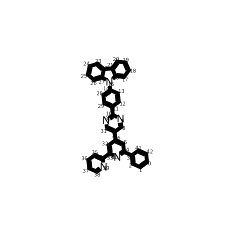 c1ccc(-c2cc(-c3cnc(-c4ccc(-n5c6ccccc6c6ccccc65)cc4)nc3)cc(-c3ccccn3)n2)cc1